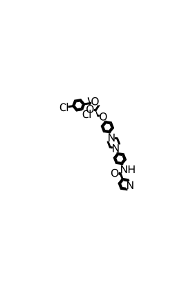 C[C@@]1(c2ccc(Cl)cc2Cl)OC[C@@H](COc2ccc(N3CCN(c4ccc(NC(=O)c5cccnc5)cc4)CC3)cc2)O1